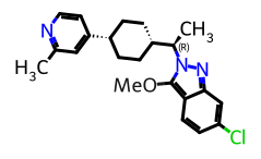 COc1c2ccc(Cl)cc2nn1[C@H](C)[C@H]1CC[C@@H](c2ccnc(C)c2)CC1